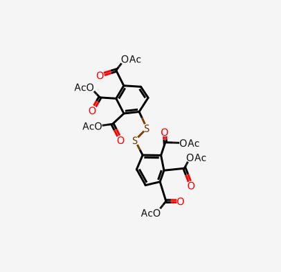 CC(=O)OC(=O)c1ccc(SSc2ccc(C(=O)OC(C)=O)c(C(=O)OC(C)=O)c2C(=O)OC(C)=O)c(C(=O)OC(C)=O)c1C(=O)OC(C)=O